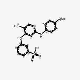 COc1ccc(Nc2ncc(C)c(Nc3cccc(S(=O)(=O)F)c3)n2)cc1